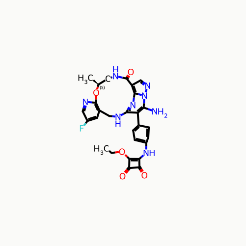 CCOc1c(Nc2ccc(-c3c4nc5c(cnn5c3N)C(=O)NC[C@H](C)Oc3ncc(F)cc3CN4)cc2)c(=O)c1=O